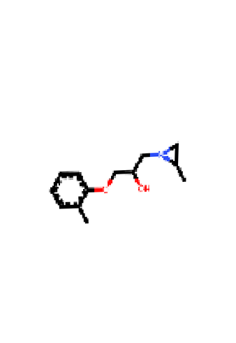 Cc1ccccc1OCC(O)CN1CC1C